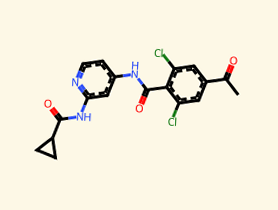 CC(=O)c1cc(Cl)c(C(=O)Nc2ccnc(NC(=O)C3CC3)c2)c(Cl)c1